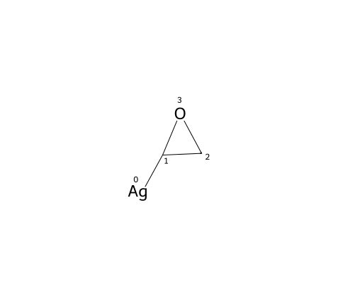 [Ag][CH]1CO1